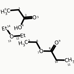 CCC(=O)O.CCOC(=O)CC.CCOCC